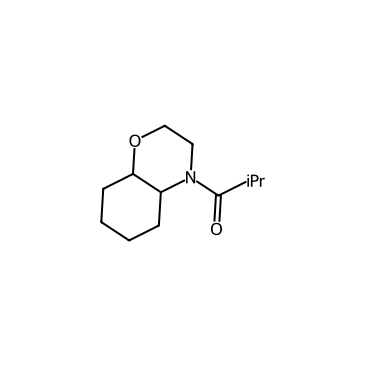 CC(C)C(=O)N1CCOC2CCCCC21